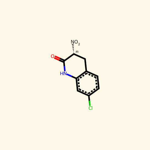 O=C1Nc2cc(Cl)ccc2C[C@H]1[N+](=O)[O-]